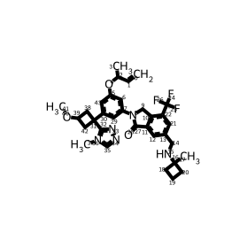 C=CC(C)Oc1cc(N2Cc3c(cc(CNC4(C)CCC4)cc3C(F)(F)F)C2=O)cc(C2(c3nncn3C)CC(OC)C2)c1